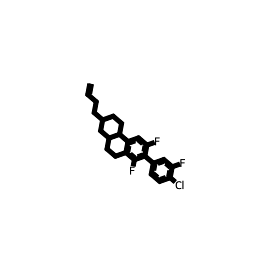 C=CCCC1CCC2c3cc(F)c(-c4ccc(Cl)c(F)c4)c(F)c3CCC2C1